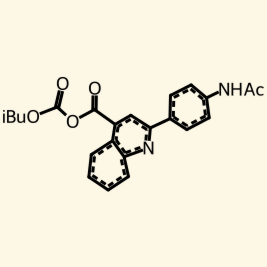 CC(=O)Nc1ccc(-c2cc(C(=O)OC(=O)OCC(C)C)c3ccccc3n2)cc1